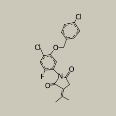 CC(C)=C1CC(=O)N(c2cc(OCc3ccc(Cl)cc3)c(Cl)cc2F)C1=O